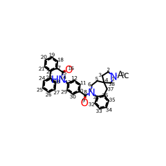 CC(=O)N1CCC2(CCN(C(=O)c3ccc(NC(=O)c4ccccc4-c4ccccc4)cc3)c3ccccc3C2)C1